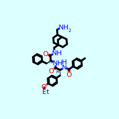 CCOc1ccc(C[C@@H](NC(=O)c2ccc(C)cc2)C(=O)N[C@@H](Cc2ccccc2)C(=O)NCC23CCCC(C2)C(CN)CC3)cc1